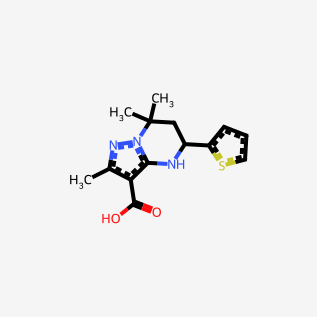 Cc1nn2c(c1C(=O)O)NC(c1cccs1)CC2(C)C